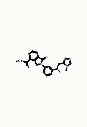 COC(=O)c1nccc2c1CN(c1cccc([C@H](C)Cc3nncn3C)c1)C2=O